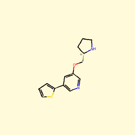 c1csc(-c2cncc(OC[C@@H]3CCCN3)c2)c1